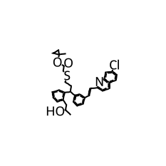 CC(O)Cc1ccccc1C(CCSCC(=O)OC1(C)CC1)c1cccc(/C=C/c2ccc3ccc(Cl)cc3n2)c1